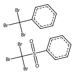 BrC(Br)(Br)c1ccccc1.O=S(=O)(c1ccccc1)C(Br)(Br)Br